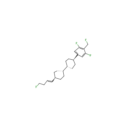 FCCC=C[C@H]1CC[C@H]([C@H]2CC[C@H](c3cc(F)c(CF)c(F)c3)CC2)CC1